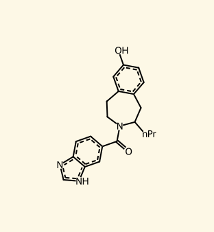 CCCC1Cc2ccc(O)cc2CCN1C(=O)c1ccc2nc[nH]c2c1